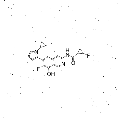 O=C(Nc1cc2cc(-c3cccn3C3CC3)c(F)c(O)c2cn1)C1CC1F